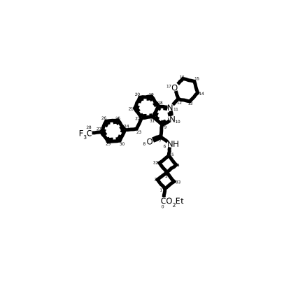 CCOC(=O)C1CC2(CC(NC(=O)c3nn(C4CCCCO4)c4cccc(Cc5ccc(C(F)(F)F)cc5)c34)C2)C1